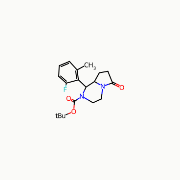 Cc1cccc(F)c1C1C2CCC(=O)N2CCN1C(=O)OC(C)(C)C